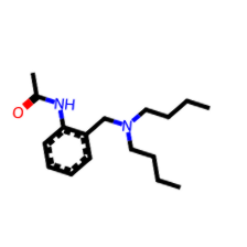 CCCCN(CCCC)Cc1ccccc1NC(C)=O